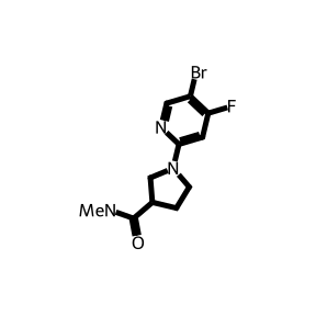 CNC(=O)C1CCN(c2cc(F)c(Br)cn2)C1